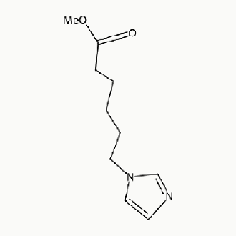 COC(=O)CCCCCn1ccnc1